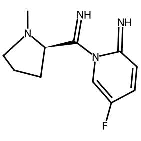 CN1CCC[C@@H]1C(=N)n1cc(F)ccc1=N